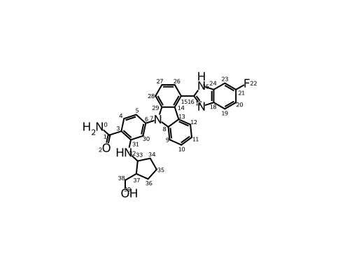 NC(=O)c1ccc(-n2c3ccccc3c3c(-c4nc5ccc(F)cc5[nH]4)cccc32)cc1NC1CCCC1CO